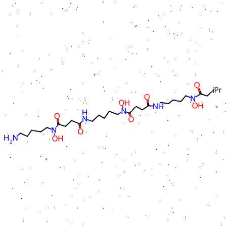 CC(C)CC(=O)N(O)CCCCCNC(=O)CCC(=O)N(O)CCCCCNC(=O)CCC(=O)N(O)CCCCCN